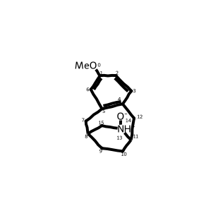 COc1ccc2c(c1)CC1CCC(C2)[NH+]([O-])C1